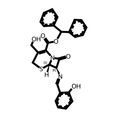 O=C(OC(c1ccccc1)c1ccccc1)C1=C(CO)CS[C@H]2[C@H](N=Cc3ccccc3O)C(=O)N12